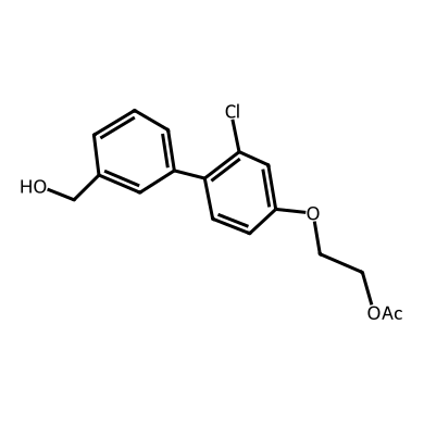 CC(=O)OCCOc1ccc(-c2cccc(CO)c2)c(Cl)c1